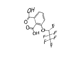 O=C(O)c1cccc(OC(F)C(F)(F)C(F)(F)F)c1C(=O)O